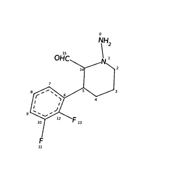 NN1CCCC(c2cccc(F)c2F)C1C=O